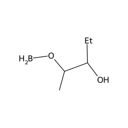 BOC(C)C(O)CC